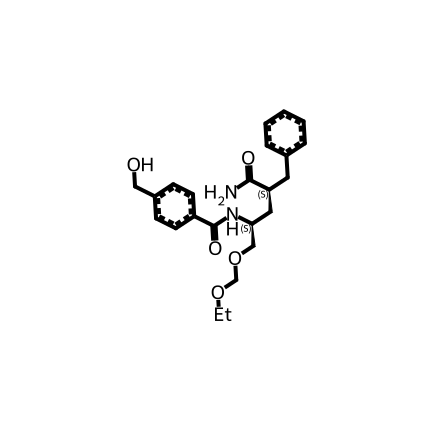 CCOCOC[C@H](C[C@H](Cc1ccccc1)C(N)=O)NC(=O)c1ccc(CO)cc1